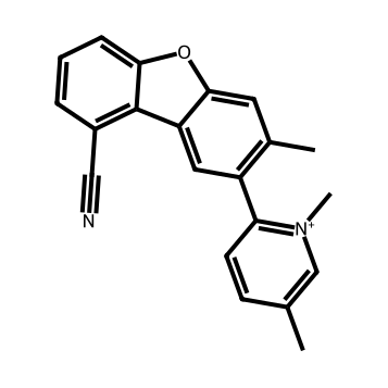 Cc1ccc(-c2cc3c(cc2C)oc2cccc(C#N)c23)[n+](C)c1